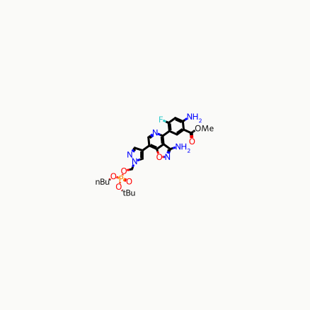 CCCCOP(=O)(OCn1cc(-c2cnc(-c3cc(C(=O)OC)c(N)cc3F)c3c(N)noc23)cn1)OC(C)(C)C